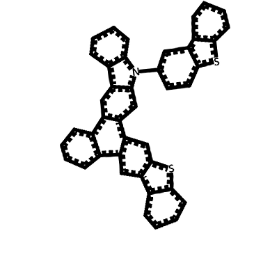 c1ccc2c(c1)sc1ccc(-n3c4ccccc4c4cc5c6ccccc6c6cc7c(cc6c5cc43)sc3ccccc37)cc12